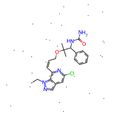 CCn1ncc2cc(Cl)nc(/C=C\COC(C)(C)C(NC(N)=O)c3ccccc3)c21